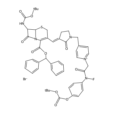 CC(C)(C)OC(=O)NC1C(=O)N2C(C(=O)OC(c3ccccc3)c3ccccc3)=C(C=C3CCN(Cc4cc[n+](CC(=O)N(F)c5ccc(OC(=O)OC(C)(C)C)cc5)cc4)C3=O)CSC12.[Br-]